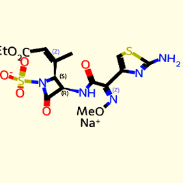 CCOC(=O)/C=C(/C)[C@H]1[C@@H](NC(=O)/C(=N\OC)c2csc(N)n2)C(=O)N1S(=O)(=O)[O-].[Na+]